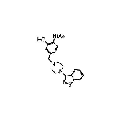 CNc1ccc(CN2CCN(c3nsc4ccccc34)CC2)cc1O